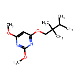 COc1cc(OCC(C)(C)C(C)C)nc(OC)n1